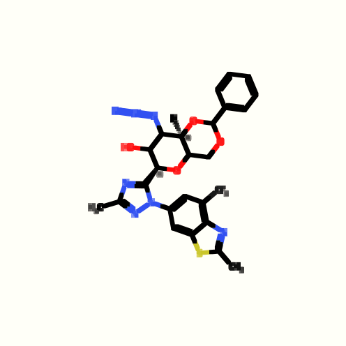 Cc1nc([C@@H]2OC3COC(c4ccccc4)O[C@@H]3C(N=[N+]=[N-])C2O)n(-c2cc(C(F)(F)F)c3nc(C)sc3c2)n1